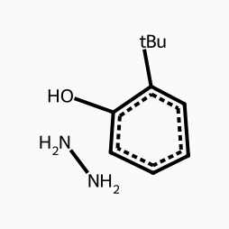 CC(C)(C)c1ccccc1O.NN